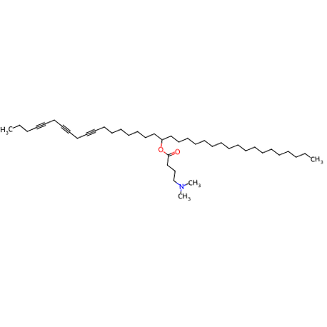 CCCC#CCC#CCC#CCCCCCCCC(CCCCCCCCCCCCCCCCCC)OC(=O)CCCN(C)C